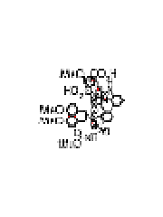 COc1ccc(CN(Cc2ccc(OC)cc2)S(=O)(=O)c2c(S(=O)(=O)CCNC(=O)OC(C)(C)C)ccc(-c3cccc4[nH]c([C@H](CNC(=O)O)NC(=O)O)nc34)c2-c2nnn(Cc3ccc(OC)cc3)n2)cc1